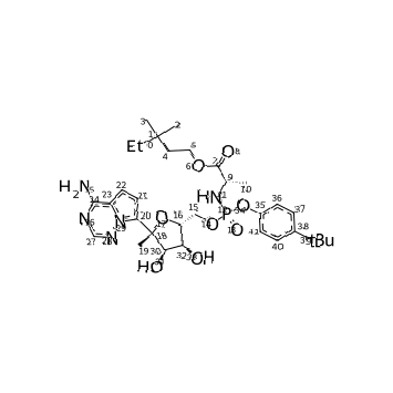 CCC(C)(C)CCOC(=O)[C@H](C)NP(=O)(OC[C@H]1O[C@@](C)(c2ccc3c(N)ncnn23)[C@H](O)[C@@H]1O)Oc1ccc(C(C)(C)C)cc1